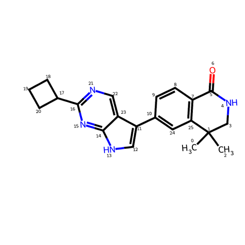 CC1(C)CNC(=O)c2ccc(-c3c[nH]c4nc(C5CCC5)ncc34)cc21